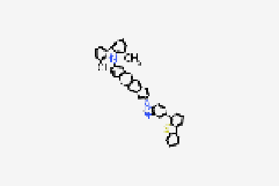 Cc1cccc2c3cccc(C)c3n(-c3ccc4c(c3)Cc3cc5ccc(-n6cnc7cc(-c8cccc9c8sc8ccccc89)ccc76)cc5cc3C4)c12